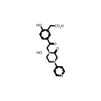 Cl.O=C(O)Cc1cc(C(=O)CN2CCN(c3ccncc3)CC2=O)ccc1O